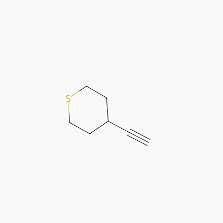 C#CC1CCSCC1